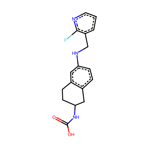 O=C(O)NC1CCc2cc(NCc3cccnc3F)ccc2C1